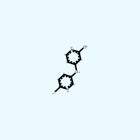 Clc1cc(Oc2ccc(I)nc2)ccn1